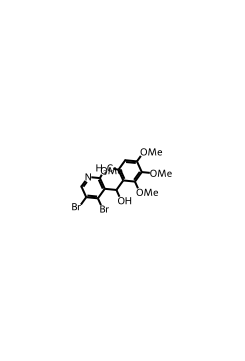 COc1cc(C)c(C(O)c2c(OC)ncc(Br)c2Br)c(OC)c1OC